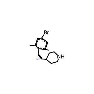 Cc1cc(Br)cc(C)c1/C=C\C1CCNCC1